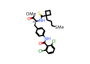 COC(=O)[C@H](Cc1ccc(NC(=O)c2c(Cl)cccc2Cl)cc1)NC(=S)C1(CCCSC)CCC1